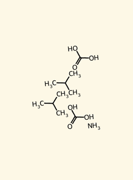 CC(C)C.CC(C)C.N.O=C(O)O.O=C(O)O